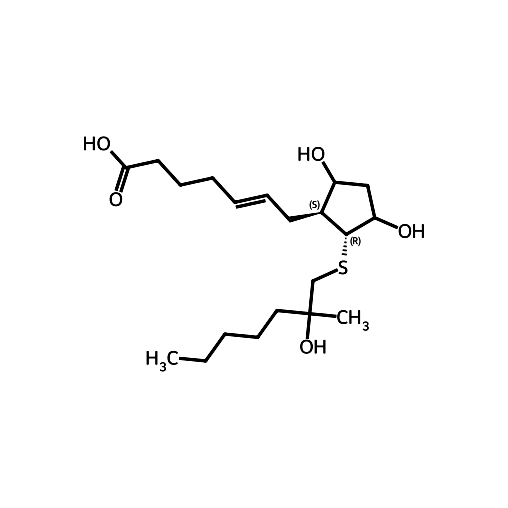 CCCCCC(C)(O)CS[C@H]1C(O)CC(O)[C@@H]1CC=CCCCC(=O)O